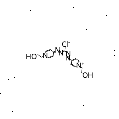 CC(N=Nc1cc[n+](CCO)cc1)=NN=c1ccn(CCO)cc1.[Cl-]